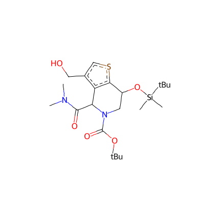 CN(C)C(=O)C1c2c(CO)csc2C(O[Si](C)(C)C(C)(C)C)CN1C(=O)OC(C)(C)C